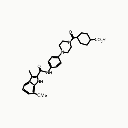 COc1cccc2c(C)c(C(=O)Nc3ccc(N4CCN(C(=O)C5CCC(C(=O)O)CC5)CC4)cc3)[nH]c12